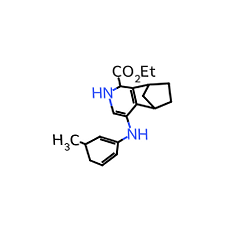 CCOC(=O)C1NC=C(NC2=CC(C)CC=C2)C2=C1C1CCC2C1